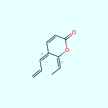 C=C/C=c1/ccc(=O)o/c1=C/C